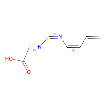 C=C\C=C/N=C\N=C\C(=O)O